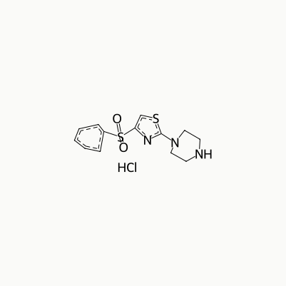 Cl.O=S(=O)(c1ccccc1)c1csc(N2CCNCC2)n1